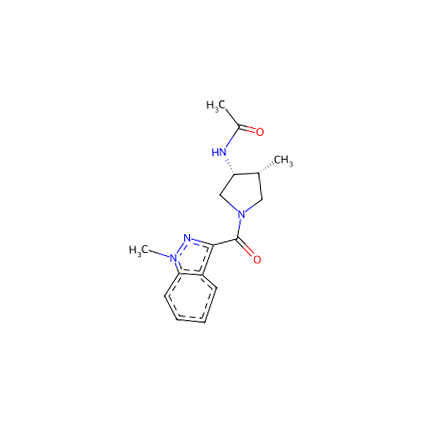 CC(=O)N[C@H]1CN(C(=O)c2nn(C)c3ccccc23)C[C@H]1C